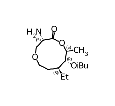 CC[C@H]1CCOC[C@H](N)C(=O)O[C@@H](C)[C@@H]1OCC(C)C